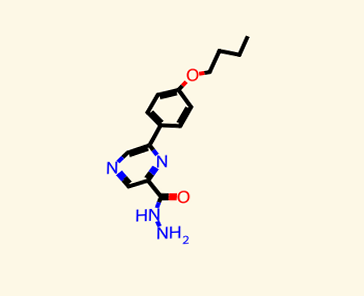 CCCCOc1ccc(-c2cncc(C(=O)NN)n2)cc1